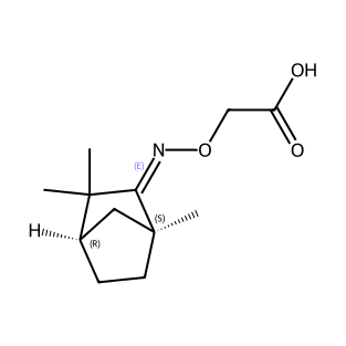 CC1(C)/C(=N/OCC(=O)O)[C@@]2(C)CC[C@@H]1C2